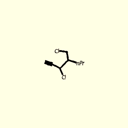 C#CC(Cl)C(CCl)CCC